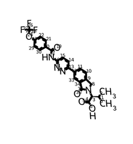 CC(C)[C@@H](C(=O)O)N1Cc2ccc(-c3ccc(NC(=O)c4ccc(OC(F)(F)F)cc4)nn3)cc2C1=O